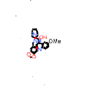 COc1ccc2nccc(C(O)CN3C4CCC3CC(NCc3ccc5c(c3)OCO5)C4)c2c1